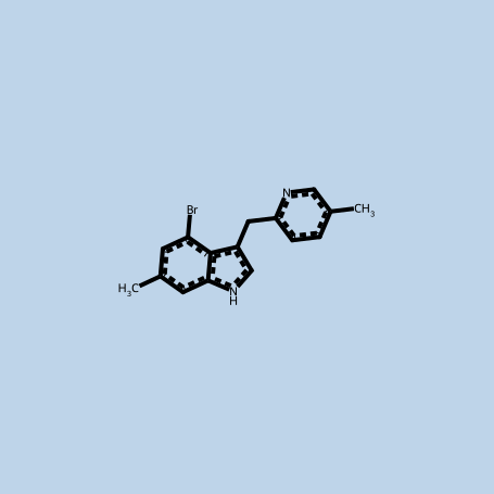 Cc1ccc(Cc2c[nH]c3cc(C)cc(Br)c23)nc1